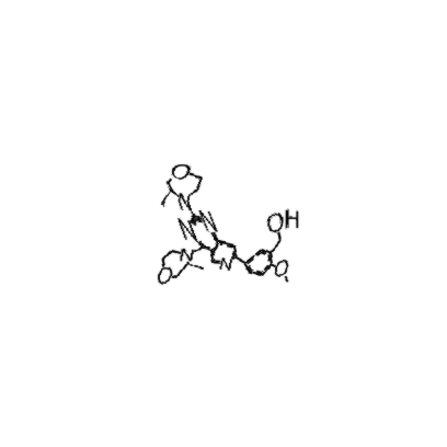 COc1ccc(-c2cc3nc(N4CCOC[C@@H]4C)nc(N4CCOC[C@@H]4C)c3cn2)cc1CO